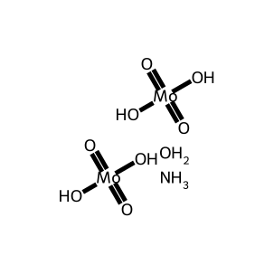 N.O.[O]=[Mo](=[O])([OH])[OH].[O]=[Mo](=[O])([OH])[OH]